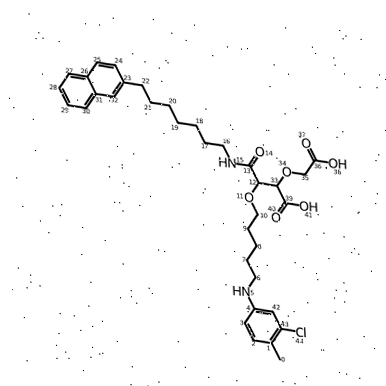 Cc1ccc(NCCCCCOC(C(=O)NCCCCCCCc2ccc3ccccc3c2)C(OCC(=O)O)C(=O)O)cc1Cl